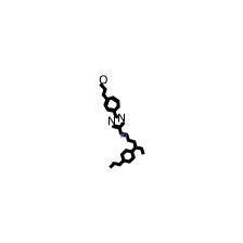 CCCC1CCC(C(CC)CC/C=C/c2cnc(C3=CC=C(CCC=O)C=CC3)nc2)CC1